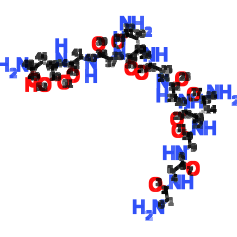 NCC(=O)NCC(=O)NCC(=O)N[C@@H](CC(N)=O)C(=O)NCC(=O)NCC(=O)N[C@@H](CC(N)=O)C(=O)NCC(=O)NCC(=O)N[C@@H](CC(N)=O)C(=O)O